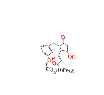 CCCCCC(O)C=CC1C(O)CC(=O)C1Cc1cccc(OCC(=O)O)c1